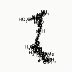 CC[C@H](C)[C@@H]([C@@H](CC(=O)N1CCC[C@H]1[C@H](OC)[C@@H](C)C(=O)N[C@@H](Cc1ccc(OCCCCCC(=O)NOCc2ccc(NC(=O)[C@H](CCCNC(N)=O)NC(=O)[C@@H](NC(=O)CCCC(=O)O)C(C)C)cc2)cc1)C(=O)NS(C)(=O)=O)OC)N(C)C(=O)[C@@H](NC(=O)[C@H](C(C)C)N(C)C)C(C)C